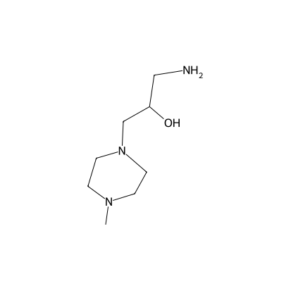 CN1CCN(CC(O)CN)CC1